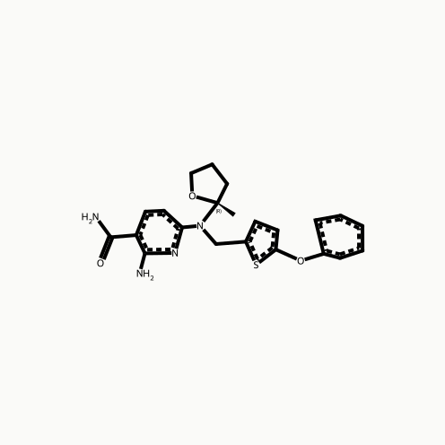 C[C@]1(N(Cc2ccc(Oc3ccccc3)s2)c2ccc(C(N)=O)c(N)n2)CCCO1